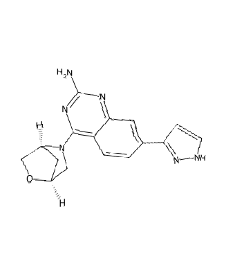 Nc1nc(N2C[C@@H]3C[C@H]2CO3)c2ccc(-c3cc[nH]n3)cc2n1